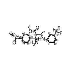 COC(=O)/C(=C(\C)Nc1cccc(C(F)(F)F)c1)C(N)c1ccc(C(=O)OC)nc1